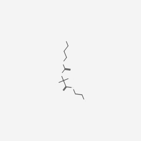 CCCCSC(=S)SC(C)(C)C(=O)NCCO